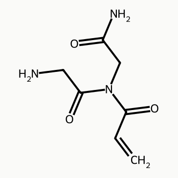 C=CC(=O)N(CC(N)=O)C(=O)CN